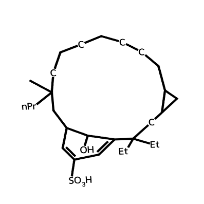 CCCC1(C)CCCCCCCC2CC2CC(CC)(CC)C2=CC(S(=O)(=O)O)=CC(C1)C2O